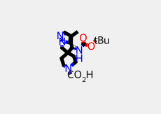 Cc1cnn2c1[C@@H](NC(=O)OC(C)(C)C)C1(CCN(C(=O)O)CC1)C2